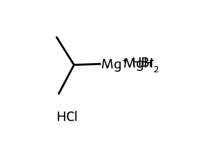 Br.C[CH](C)[Mg+].Cl.[MgH2]